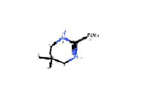 CNC1=NCC(C)(C)CN1